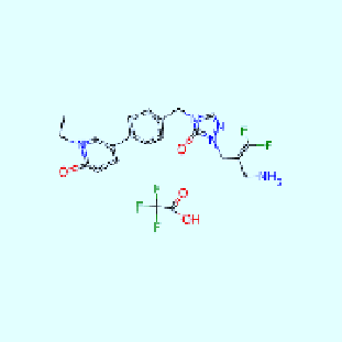 CCn1cc(-c2ccc(Cn3cnn(CC(CN)=C(F)F)c3=O)cc2)ccc1=O.O=C(O)C(F)(F)F